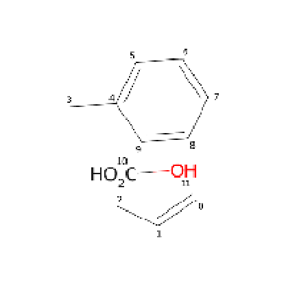 C=CC.Cc1ccccc1.O=C(O)O